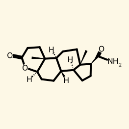 C[C@]12CCC(=O)O[C@@H]1CC[C@@H]1[C@@H]2CC[C@]2(C)[C@@H](C(N)=O)CC[C@@H]12